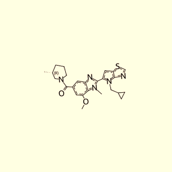 COc1cc(C(=O)N2CCC[C@@H](C)C2)cc2nc(-c3cc4scnc4n3CC3CC3)n(C)c12